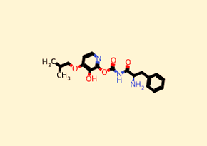 CC(C)COc1ccnc(OC(=O)NC(=O)[C@H](N)Cc2ccccc2)c1O